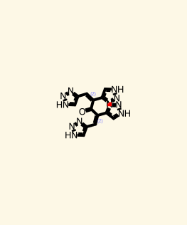 O=C(/C(=C\c1c[nH]nn1)c1c[nH]nn1)/C(=C\c1c[nH]nn1)c1c[nH]nn1